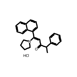 CC(C(=O)C=C(c1cccc2ccccc12)N1CCCC1)c1ccccc1.Cl